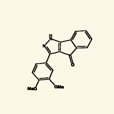 COc1ccc(-c2n[nH]c3c2C(=O)c2ccccc2-3)cc1OC